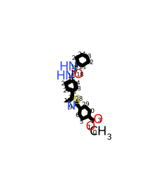 COC(=O)C1CCC(c2ncc(-c3ccc(NC(=O)NC4CCCCC4)cc3)s2)CC1